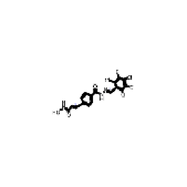 O=C(/C=C/c1ccc(C(=O)N/N=C/c2c(Cl)c(Cl)c(Cl)c(Cl)c2Cl)cc1)NO